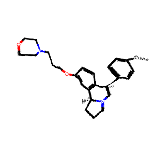 COc1ccc([C@H]2CN3CCC[C@H]3c3cc(OCCCN4CCOCC4)ccc32)cc1